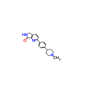 CN1CCC(c2ccc(-c3ccc4c(n3)C(=O)NC4)cc2)CC1